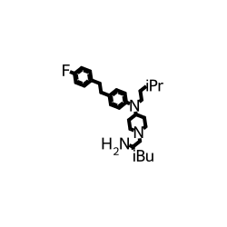 CCC(C)C(N)CN1CCC(N(CCC(C)C)c2ccc(CCc3ccc(F)cc3)cc2)CC1